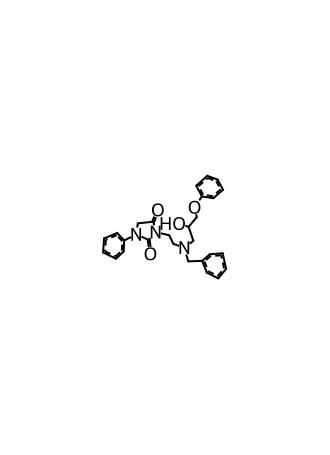 O=C1CN(c2ccccc2)C(=O)N1CCN(Cc1ccccc1)CC(O)COc1ccccc1